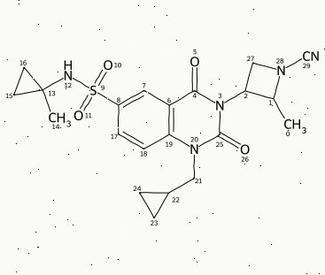 CC1C(n2c(=O)c3cc(S(=O)(=O)NC4(C)CC4)ccc3n(CC3CC3)c2=O)CN1C#N